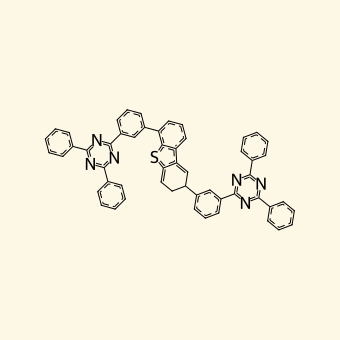 C1=c2sc3c(-c4cccc(-c5nc(-c6ccccc6)nc(-c6ccccc6)n5)c4)cccc3c2=CC(c2cccc(-c3nc(-c4ccccc4)nc(-c4ccccc4)n3)c2)C1